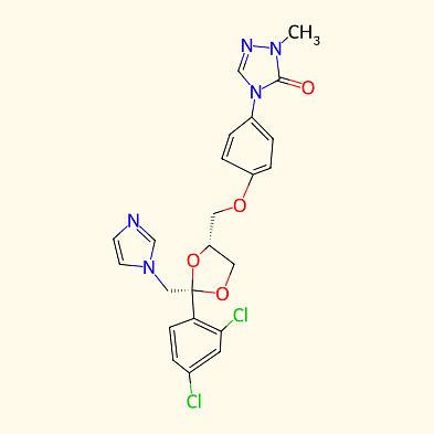 Cn1ncn(-c2ccc(OC[C@@H]3CO[C@@](Cn4ccnc4)(c4ccc(Cl)cc4Cl)O3)cc2)c1=O